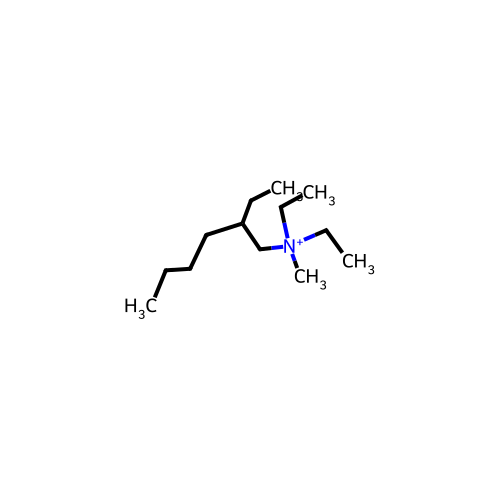 CCCCC(CC)C[N+](C)(CC)CC